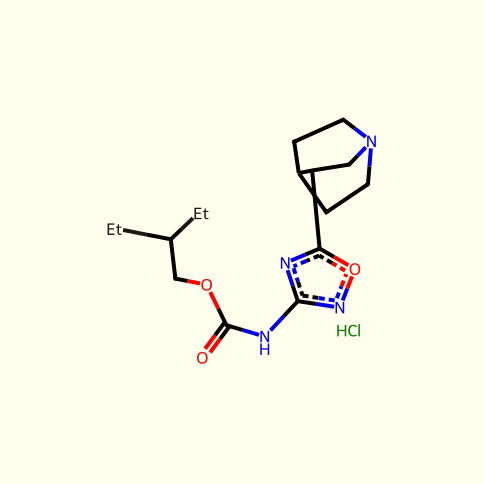 CCC(CC)COC(=O)Nc1noc(C2CN3CCC2CC3)n1.Cl